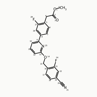 COC(=O)Cc1ccc(-c2cccc(OCc3ccc(C#N)cc3F)n2)cc1F